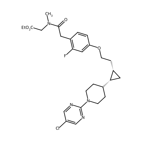 CCOC(=O)CN(C)C(=O)Cc1ccc(OCC[C@@H]2C[C@@H]2C2CCN(c3ncc(Cl)cn3)CC2)cc1F